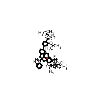 CC(C)Oc1cc(-c2ccc(CC(Cc3ccc(C(F)(F)P(=O)(OC(C)(C)C)OC(C)(C)C)cc3)(c3ccccc3)n3nnc4ccccc43)cc2)ccc1C(=O)OC(C)(C)C